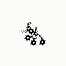 COc1nc(OC)c2ccc([C@]3(C#N)O[C@H](COCc4ccccc4)[C@@H](OCc4ccccc4)[C@H]3OCc3ccccc3)cc2n1